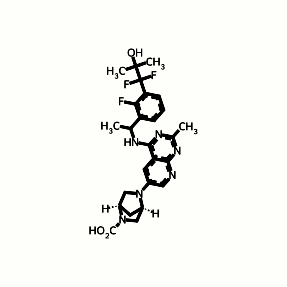 Cc1nc(NC(C)c2cccc(C(F)(F)C(C)(C)O)c2F)c2cc(N3C[C@H]4C[C@@H]3CN4C(=O)O)cnc2n1